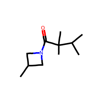 CC1CN(C(=O)C(C)(C)C(C)C)C1